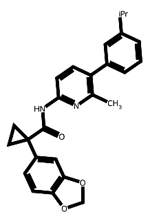 Cc1nc(NC(=O)C2(c3ccc4c(c3)OCO4)CC2)ccc1-c1cccc(C(C)C)c1